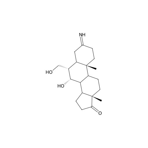 C[C@]12CCC(=N)CC1[C@@H](CO)[C@@H](O)C1C2CC[C@]2(C)C(=O)CCC12